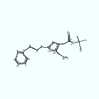 CC(C)(C)OC(=O)c1cc(CCCc2ccccc2)sc1N